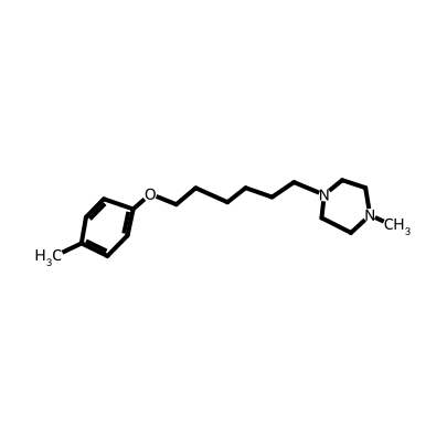 Cc1ccc(OCCCCCCN2CCN(C)CC2)cc1